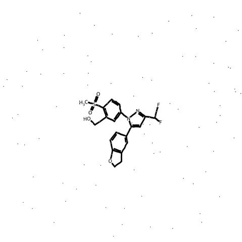 CS(=O)(=O)c1ccc(-n2nc(C(F)F)cc2-c2ccc3c(c2)CCO3)cc1CO